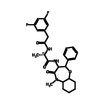 C[C@H](NC(=O)Cc1cc(F)cc(F)c1)C(=O)NC1C(=O)N(C)C2CCCCC2OC1c1ccccc1